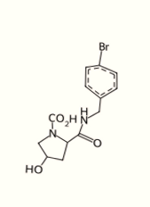 O=C(NCc1ccc(Br)cc1)C1CC(O)CN1C(=O)O